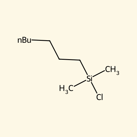 CCCCCCC[Si](C)(C)Cl